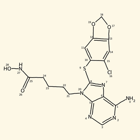 Nc1ncnc2c1nc(Sc1cc3c(cc1Cl)OCO3)n2CCCCC(=O)NO